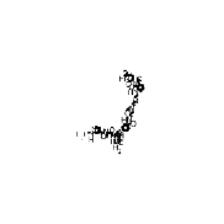 NC(=O)c1nn(-c2ccc(C(=O)NCC3CN(CCOCCNc4cccc5c4C(=O)N(C4CCC(=O)NC4=O)C5=O)CCO3)cc2)cc1NC(=O)c1coc(-c2ccnc(NCC(F)(F)F)c2)n1